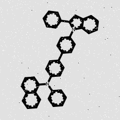 c1ccc(-c2cc3ccccc3n2-c2ccc(-c3ccc(N(c4ccccc4)c4cccc5ccccc45)cc3)cc2)cc1